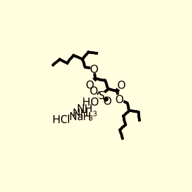 CCCCC(CC)COC(=O)CC(C(=O)OCC(CC)CCCC)S(=O)(=O)O.Cl.N.N.[NaH]